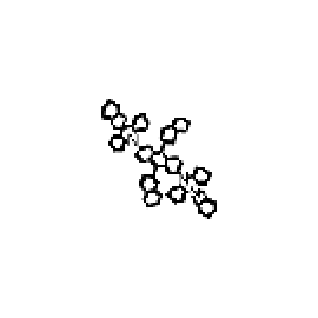 c1ccc2c(c1)CC1(C2)c2ccccc2N(c2ccc3c(-c4ccc5ccccc5c4)c4cc(N5c6ccccc6[Si]6(Cc7ccccc7C6)c6ccccc65)ccc4c(-c4ccc5ccccc5c4)c3c2)c2ccccc21